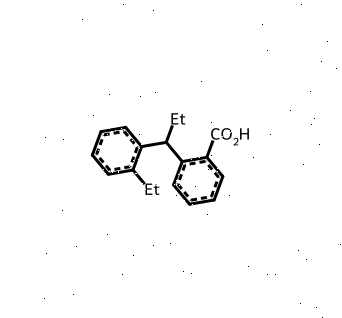 CCc1ccccc1C(CC)c1ccccc1C(=O)O